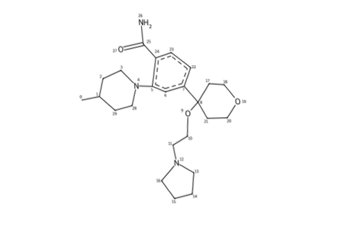 CC1CCN(c2cc(C3(OCCN4CCCC4)CCOCC3)ccc2C(N)=O)CC1